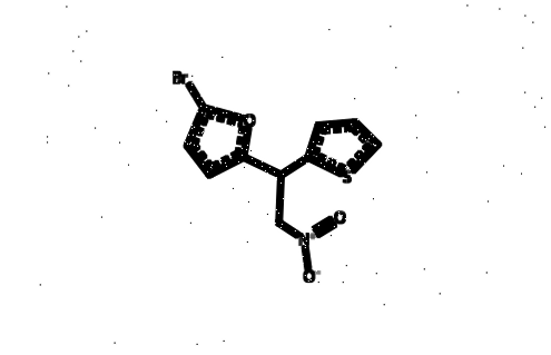 O=[N+]([O-])CC(c1ccc(Br)o1)c1cccs1